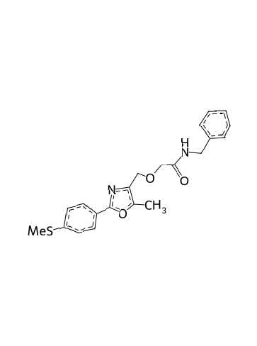 CSc1ccc(-c2nc(COCC(=O)NCc3ccccc3)c(C)o2)cc1